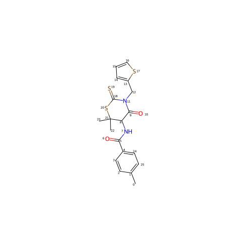 Cc1ccc(C(=O)NC2C(=O)N(Cc3cccs3)C(=S)SC2(C)C)cc1